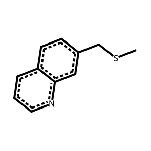 CSCc1ccc2cccnc2c1